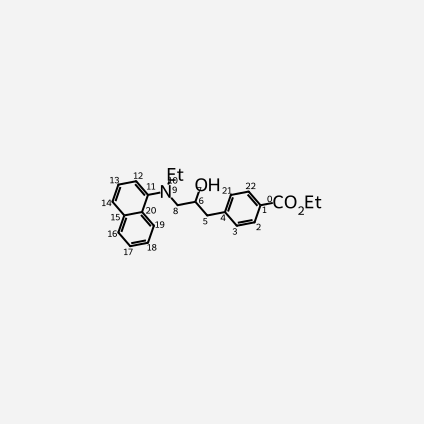 CCOC(=O)c1ccc(CC(O)CN(CC)c2cccc3ccccc23)cc1